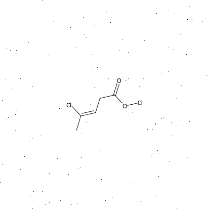 CC(Cl)=CCC(=O)OCl